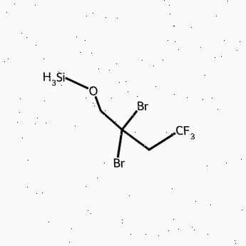 FC(F)(F)CC(Br)(Br)CO[SiH3]